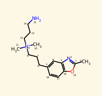 Cc1nc2cc(CCC[N+](C)(C)CCCN)ccc2o1